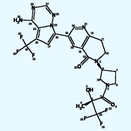 C[C@@](O)(C(=O)N1CC[C@H](N2CCc3ncc(-c4cc(C(F)(F)F)c5c(N)ncnn45)cc3C2=O)C1)C(F)(F)F